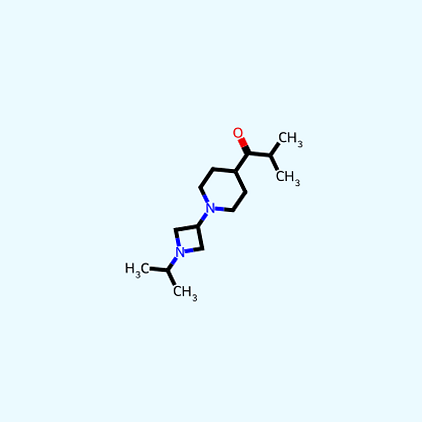 CC(C)C(=O)C1CCN(C2CN(C(C)C)C2)CC1